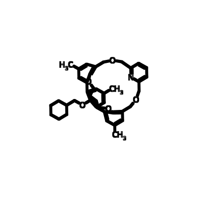 Cc1cc2c3c(c1)-c1cc(C)cc(c1OCC1CCCCC1)-c1cc(C)cc(c1OCCCCO3)COCc1cccc(n1)COC2